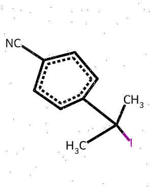 CC(C)(I)c1ccc(C#N)cc1